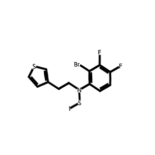 Fc1ccc(N(CCc2ccsc2)SI)c(Br)c1F